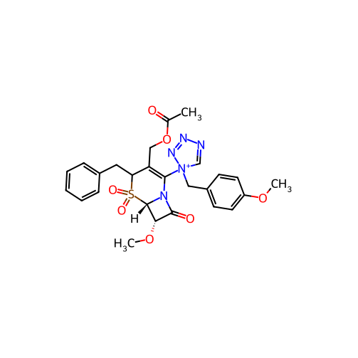 COc1ccc(C[N+]2(C3=C(COC(C)=O)C(Cc4ccccc4)S(=O)(=O)[C@H]4[C@@H](OC)C(=O)N34)C=NN=N2)cc1